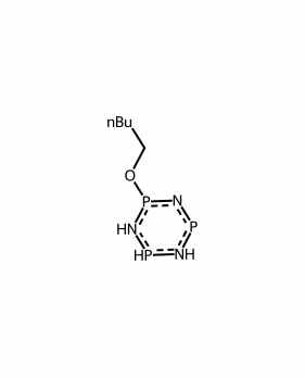 CCCCCOp1np[nH][pH][nH]1